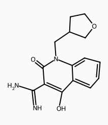 N=C(N)c1c(O)c2ccccc2n(CC2CCOC2)c1=O